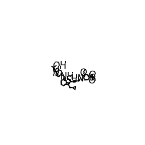 COc1cc(S(C)(=O)=O)ccc1NCC#Cc1sc2c(NC3CCN(CC(C)O)CC3)cccc2c1CC1CC1